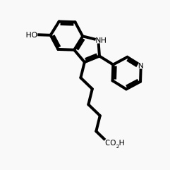 O=C(O)CCCCCc1c(-c2cccnc2)[nH]c2ccc(O)cc12